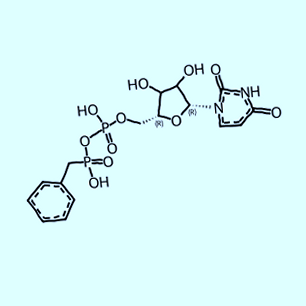 O=c1ccn([C@@H]2O[C@H](COP(=O)(O)OP(=O)(O)Cc3ccccc3)C(O)C2O)c(=O)[nH]1